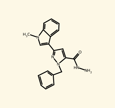 Cn1cc(-c2cc(C(=O)NN)n(Cc3ccccc3)n2)c2ccccc21